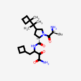 CC(C)(C)[C@H](N)C(=O)N1CC(C(C)(C)C2(C)CCC2)C[C@H]1C(=O)NC(CC1CCC1)C(=O)C(N)=O